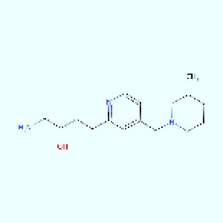 CC1CCCN(Cc2ccnc(CCC(O)CN)c2)C1